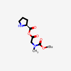 CN(CC(=O)OC(=O)[C@@H]1CCCN1)C(=O)OC(C)(C)C